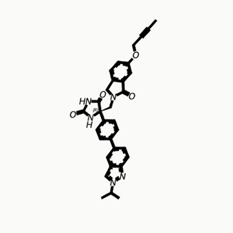 CC#CCOc1ccc2c(c1)C(=O)N(C[C@@]1(c3ccc(-c4ccc5nn(C(C)C)cc5c4)cc3)NC(=O)NC1=O)C2